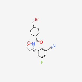 N#Cc1cc(F)cc([C@@H]2CCON2C(=O)C2CCC(CBr)CC2)c1